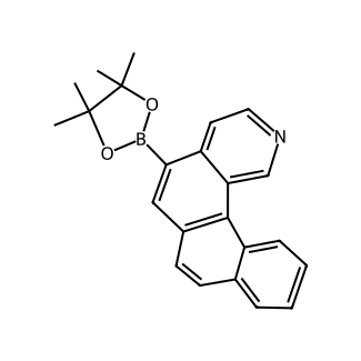 CC1(C)OB(c2cc3ccc4ccccc4c3c3cnccc23)OC1(C)C